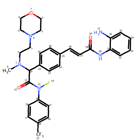 CN(CCN1CCOCC1)C(C(=O)N(F)c1ccc(C(F)(F)F)cc1)c1ccc(C=CC(=O)Nc2ccccc2N)cc1